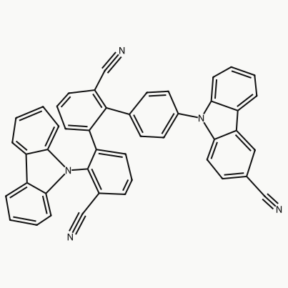 N#Cc1ccc2c(c1)c1ccccc1n2-c1ccc(-c2c(C#N)cccc2-c2cccc(C#N)c2-n2c3ccccc3c3ccccc32)cc1